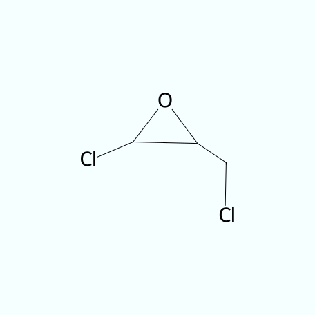 ClCC1OC1Cl